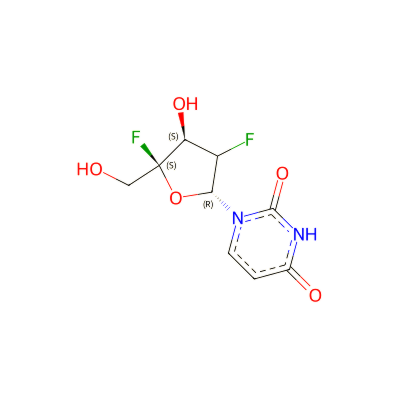 O=c1ccn([C@@H]2O[C@](F)(CO)[C@@H](O)C2F)c(=O)[nH]1